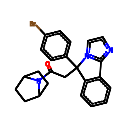 O=C(CC1(c2ccc(Br)cc2)c2ccccc2-c2nccn21)N1C2CCC1CC2